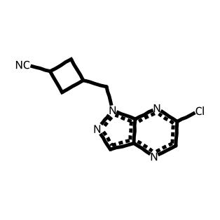 N#CC1CC(Cn2ncc3ncc(Cl)nc32)C1